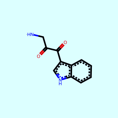 [NH]CC(=O)C(=O)c1c[nH]c2ccccc12